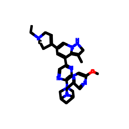 CCN1CC=C(C2=CN3NCC(C)=C3C(c3cnc(N4CC5CC(C4)N5Cc4cnc(OC)cn4)cn3)=C2)CC1